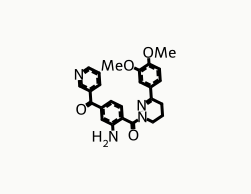 COc1ccc(C2=NN(C(=O)c3ccc(C(=O)c4cccnc4)cc3N)CCC2)cc1OC